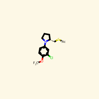 CC(=O)SC[C@H]1CCCN1c1ccc(OC(F)(F)F)c(Cl)c1